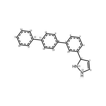 C1=CC(c2cccc(-c3ccc(-c4ccccc4)cc3)c2)NN1